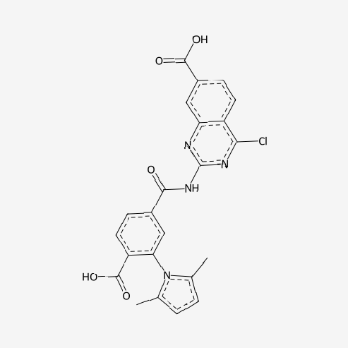 Cc1ccc(C)n1-c1cc(C(=O)Nc2nc(Cl)c3ccc(C(=O)O)cc3n2)ccc1C(=O)O